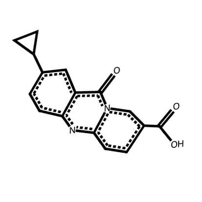 O=C(O)c1ccc2nc3ccc(C4CC4)cc3c(=O)n2c1